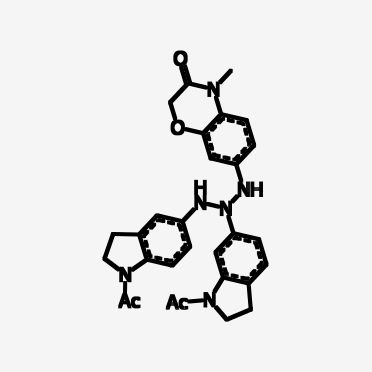 CC(=O)N1CCc2cc(NN(Nc3ccc4c(c3)OCC(=O)N4C)c3ccc4c(c3)N(C(C)=O)CC4)ccc21